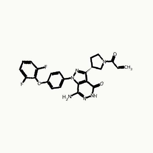 C=CC(=O)N1CC[C@@H](c2nn(-c3ccc(Oc4c(F)cccc4F)cc3)c3c(N)n[nH]c(=O)c23)C1